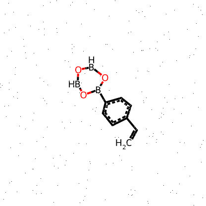 C=Cc1ccc(B2OBOBO2)cc1